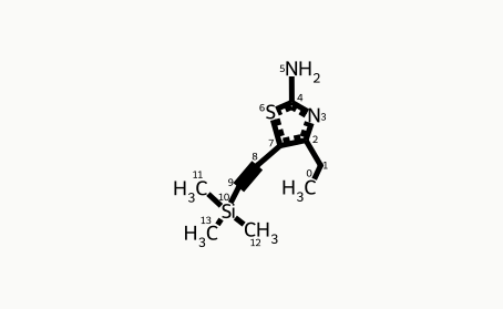 CCc1nc(N)sc1C#C[Si](C)(C)C